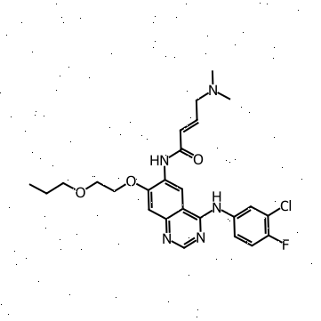 CCCOCCOc1cc2ncnc(Nc3ccc(F)c(Cl)c3)c2cc1NC(=O)/C=C/CN(C)C